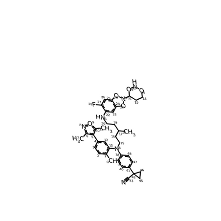 Cc1ccc(-c2c(C)noc2C)cc1N(CCC(C)CCNc1cc2c(cc1F)ON(C1CCONO1)O2)c1ccc(C2(C#N)CC2)cc1